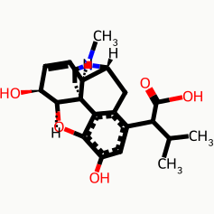 CC(C)C(C(=O)O)c1cc(O)c2c3c1C[C@@H]1[C@@H]4C=C[C@H](O)[C@H](O2)[C@]34CCN1C